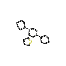 c1ccc(-c2ccc(-c3ccccc3)cc2)cc1.c1ccsc1